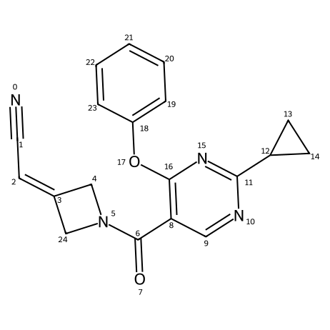 N#CC=C1CN(C(=O)c2cnc(C3CC3)nc2Oc2ccccc2)C1